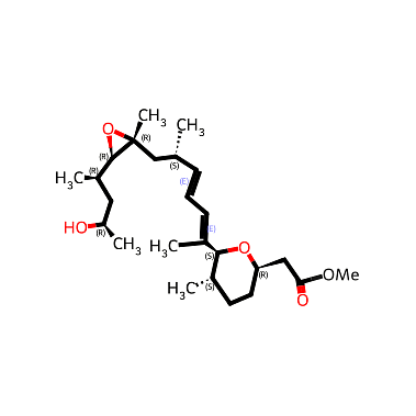 COC(=O)C[C@H]1CC[C@H](C)[C@@H](/C(C)=C/C=C/[C@@H](C)C[C@@]2(C)O[C@@H]2[C@H](C)C[C@@H](C)O)O1